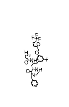 CC(=O)N[C@@H](Cc1cc(F)cc(OCc2ccc(C(F)(F)F)o2)c1)C[C@@H]1NCCN(Cc2ccccc2)C1=O